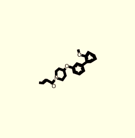 C/C=C/C(=O)N1CCC(Oc2cccc(-c3ccccc3OC)c2)CC1